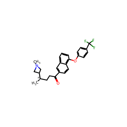 C[C@H](CCC(=O)c1ccc2c(Oc3ccc(C(F)(F)F)cc3)cccc2c1)C1CN(C)C1